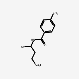 CC(=O)C(CCS(=O)(=O)O)NC(=O)c1ccc(C)cc1